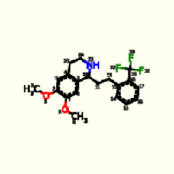 COc1cc2c(cc1OC)[C@H](CCc1ccccc1C(F)(F)F)NCC2